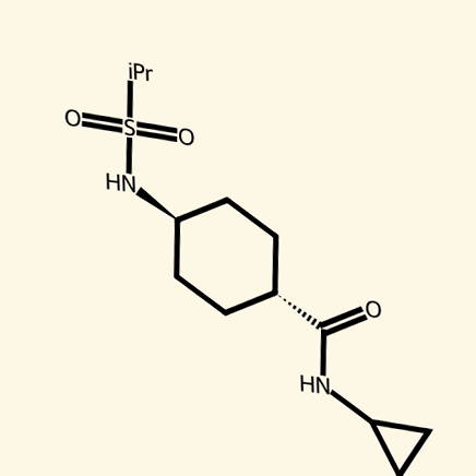 CC(C)S(=O)(=O)N[C@H]1CC[C@H](C(=O)NC2CC2)CC1